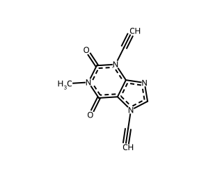 C#Cn1cnc2c1c(=O)n(C)c(=O)n2C#C